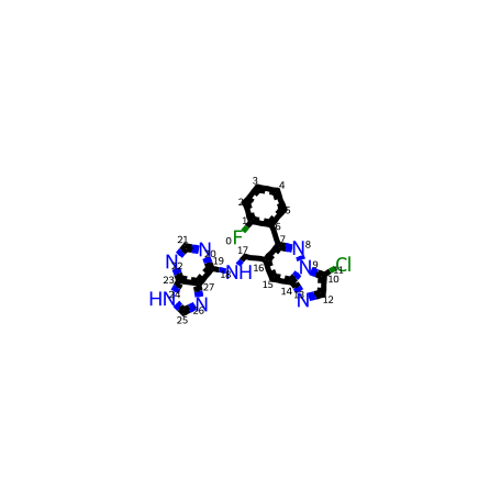 Fc1ccccc1-c1nn2c(Cl)cnc2cc1CNc1ncnc2[nH]cnc12